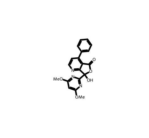 COc1cc(OC)nc(C2(O)OC(=O)c3c(-c4ccccc4)ccnc32)n1